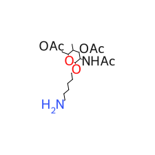 CC(=O)NC1C(OCCCCCCN)OC(COC(C)=O)C(C)C1OC(C)=O